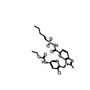 CCC/C=C/S(=O)(=O)NC(=O)c1ccc2nc(C)n(Cc3ncc(NC(=O)OCC)cc3Cl)c2n1